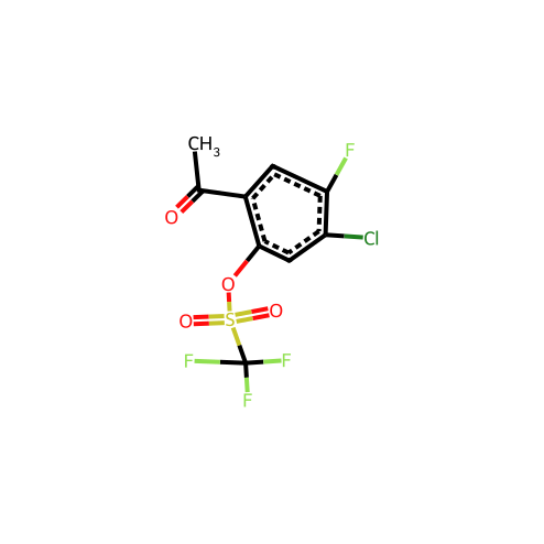 CC(=O)c1cc(F)c(Cl)cc1OS(=O)(=O)C(F)(F)F